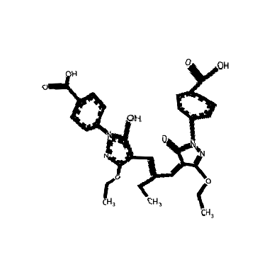 CCOC1=NN(c2ccc(C(=O)O)cc2)C(=O)C1=CC(=Cc1c(OCC)nn(-c2ccc(C(=O)O)cc2)c1O)CC